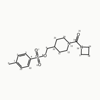 Cc1ccc(S(=O)(=O)OCC2CCN(C(=O)N3CCC3)CC2)cc1